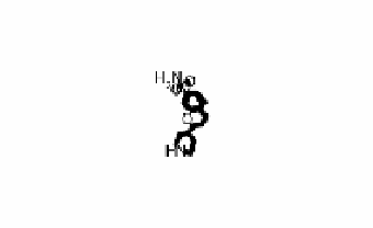 NS(=O)(=O)c1ccc2c(c1)OC(C1CCNCC1)CC2